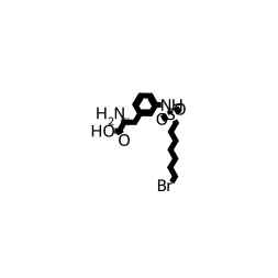 N[C@@H](Cc1cccc(NS(=O)(=O)CCCCCCCBr)c1)C(=O)O